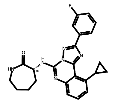 O=C1NCCCC[C@H]1Nc1nc2cccc(C3CC3)c2c2nc(-c3cccc(F)c3)nn12